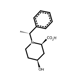 C[C@H](c1ccccc1)N1CC[C@H](O)C[C@@H]1C(=O)O